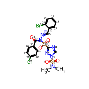 CN(C)S(=O)(=O)n1cnc(S(=O)(=O)N(/N=C/c2ccccc2Br)C(=O)c2ccc(Cl)cc2)n1